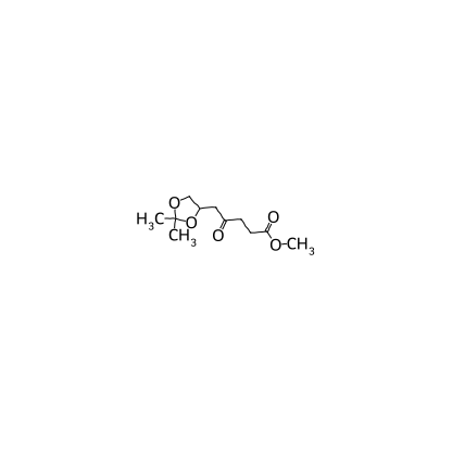 COC(=O)CCC(=O)CC1COC(C)(C)O1